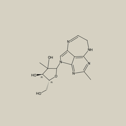 Cc1nc2c3c(cn(C4O[C@H](CO)[C@@H](O)C4(C)O)c3n1)N=CCN2